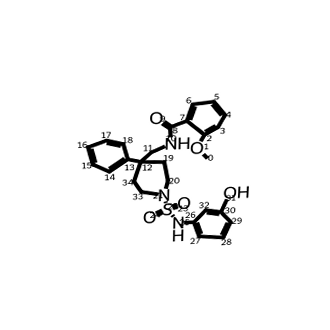 COc1ccccc1C(=O)NCC1(c2ccccc2)CCN(S(=O)(=O)Nc2cccc(O)c2)CC1